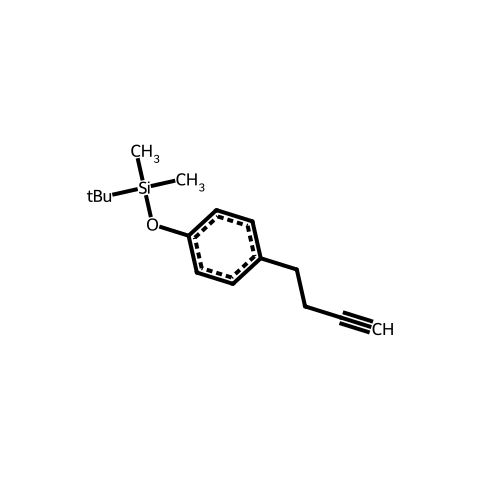 C#CCCc1ccc(O[Si](C)(C)C(C)(C)C)cc1